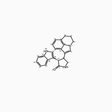 O=C1NCC(c2cn3c4c(cccc24)CCC3)[C@@H]1c1c[nH]c2ccccc12